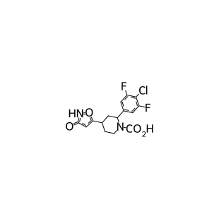 O=C(O)N1CCC(c2cc(=O)[nH]o2)CC1c1cc(F)c(Cl)c(F)c1